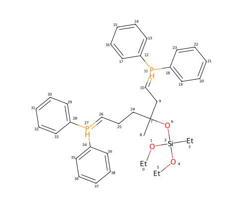 CCO[Si](CC)(OCC)OC(C)(CC=[PH](c1ccccc1)c1ccccc1)CCC=[PH](c1ccccc1)c1ccccc1